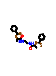 CC(SC(=S)c1ccccc1)C(=O)NCCNC(=O)C(C)SC(=S)c1ccccc1